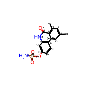 Cc1cc(C)c2c(=O)[nH]c3cc(OS(N)(=O)=O)ccc3c2c1